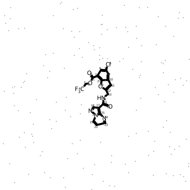 O=C(OCC(F)(F)F)c1cc(Cl)cc2cc(CNC(=O)c3cnn4cccnc34)oc12